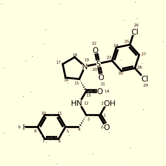 O=C(O)[C@H](Cc1ccc(I)cc1)NC(=O)[C@@H]1CCCN1S(=O)(=O)c1cc(Cl)cc(Cl)c1